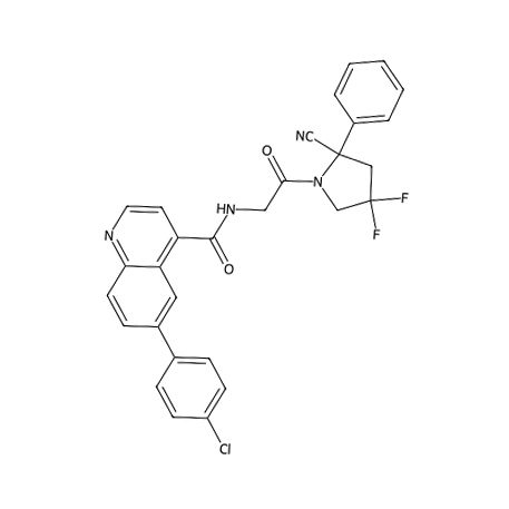 N#CC1(c2ccccc2)CC(F)(F)CN1C(=O)CNC(=O)c1ccnc2ccc(-c3ccc(Cl)cc3)cc12